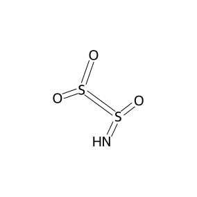 N=S(=O)=S(=O)=O